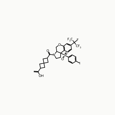 C=C(O)C1CC2(C1)CC(C(=O)N1CCC3(S(=O)(=O)c4ccc(I)cc4)c4ccc(C(F)(C(F)(F)F)C(F)(F)F)cc4OCC13)C2